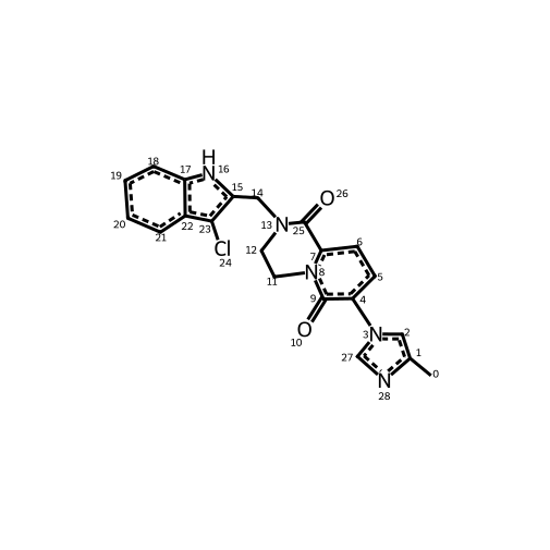 Cc1cn(-c2ccc3n(c2=O)CCN(Cc2[nH]c4ccccc4c2Cl)C3=O)cn1